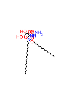 CCCCCCCCCCCCCCCCCCN(C(=O)OCCCCCCCCCCCCCC)[C@@H]1O[C@H](CO)[C@H](O)[C@H](O)[C@H]1NC(=O)CN